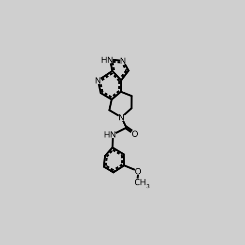 COc1cccc(NC(=O)N2CCc3c(cnc4[nH]ncc34)C2)c1